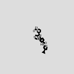 CCC(=O)N1CCCC(C2=C3C=NC=C[N+]3(N)C(c3ccc(C(=O)Nc4cc(C5CC5)ccn4)cc3)=N2)C1